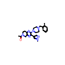 CC(=O)N1CCc2nc(N3CCN(Cc4ccccc4C)CC3)c(-c3cnn(C)c3)nc2C1